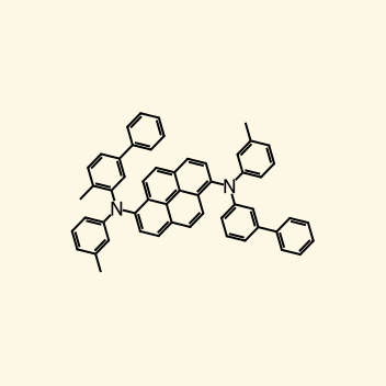 Cc1cccc(N(c2cccc(-c3ccccc3)c2)c2ccc3ccc4c(N(c5cccc(C)c5)c5cc(-c6ccccc6)ccc5C)ccc5ccc2c3c54)c1